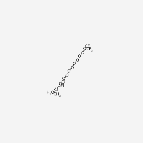 CN(C)c1ccc(C=Cc2nc3ccc(OCCOCCOCCOCCOCCOCCOCCOCCOC(C(F)(F)F)C(F)(F)F)cc3o2)cc1